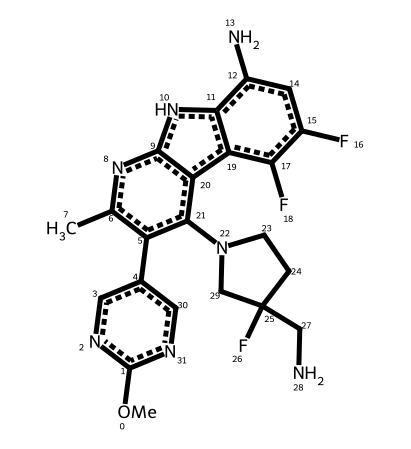 COc1ncc(-c2c(C)nc3[nH]c4c(N)cc(F)c(F)c4c3c2N2CCC(F)(CN)C2)cn1